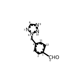 O=Cc1ccc(Cn2ncnn2)cc1